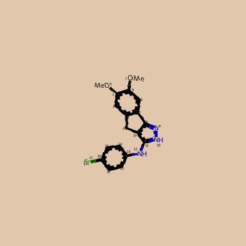 COc1cc2c(cc1OC)-c1n[nH]c(Nc3ccc(Br)cc3)c1C2